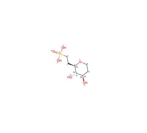 O=P(O)(O)CC[C@H]1OCC[C@@H](O)[C@@H]1O